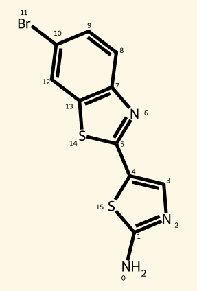 Nc1ncc(-c2nc3ccc(Br)cc3s2)s1